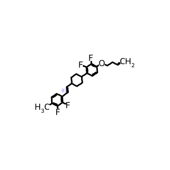 C=CCCOc1ccc(C2CCC(/C=C/c3ccc(C)c(F)c3F)CC2)c(F)c1F